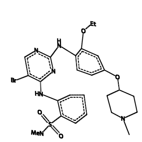 CCOc1cc(OC2CCN(C)CC2)ccc1Nc1ncc(Br)c(Nc2ccccc2S(=O)(=O)NC)n1